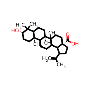 C=C(C)C1CC[C@]2(C(=O)O)CC[C@]3(C)C(CCC4[C@@]5(C)CC[C@H](O)C(C)(C)C5CC[C@]43C)C12